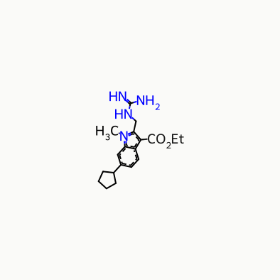 CCOC(=O)c1c(CNC(=N)N)n(C)c2cc(C3CCCC3)ccc12